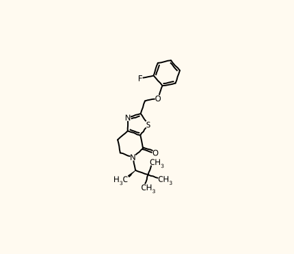 C[C@@H](N1CCc2nc(COc3ccccc3F)sc2C1=O)C(C)(C)C